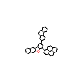 c1ccc2cc3c(cc2c1)oc1c(-c2ccc4ccc5cccc6ccc2c4c56)cc(-c2ccc4c(ccc5ccccc54)c2)cc13